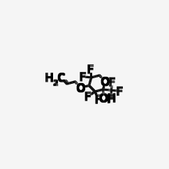 C=CCOC1C(F)(F)COC(O)(C(F)(F)F)C1(F)F